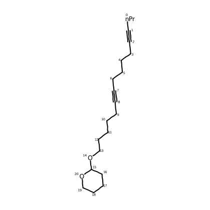 CCCC#CCCCCC#CCCCCCOC1CCCCO1